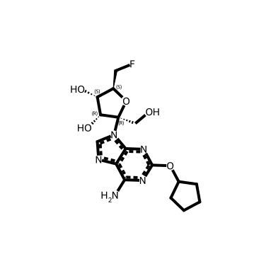 Nc1nc(OC2CCCC2)nc2c1ncn2[C@]1(CO)O[C@H](CF)[C@@H](O)[C@H]1O